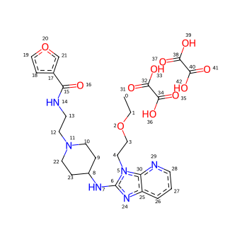 CCOCCn1c(NC2CCN(CCNC(=O)c3ccoc3)CC2)nc2cccnc21.O=C(O)C(=O)O.O=C(O)C(=O)O